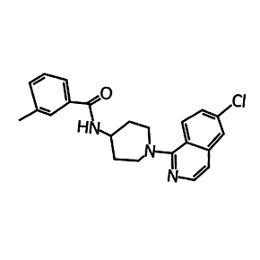 Cc1cccc(C(=O)NC2CCN(c3nccc4cc(Cl)ccc34)CC2)c1